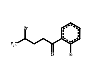 O=C(CCC(Br)C(F)(F)F)c1ccccc1Br